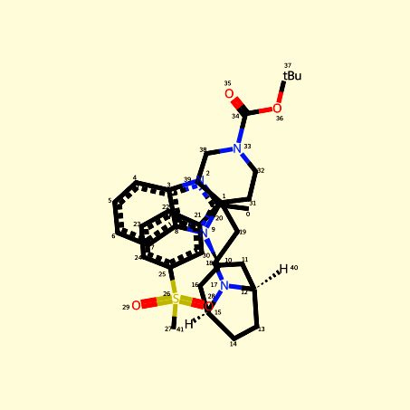 Cc1nc2ccccc2n1[C@H]1C[C@H]2CC[C@@H](C1)N2CCC1(c2cccc(S(C)(=O)=O)c2)CCN(C(=O)OC(C)(C)C)CC1